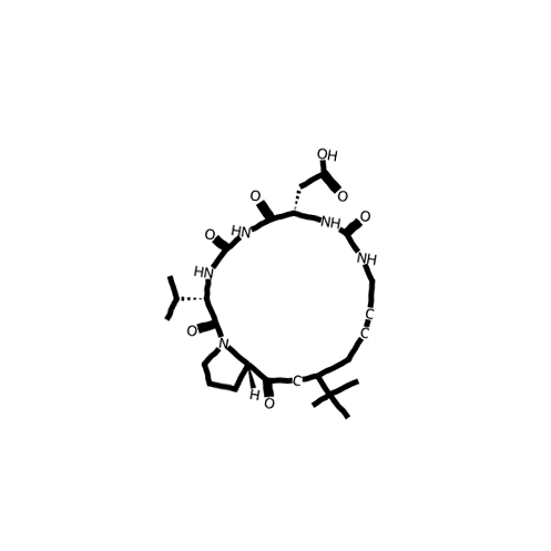 CC(C)[C@@H]1NC(=O)NC(=O)[C@H](CC(=O)O)NC(=O)NCCCCC(C(C)(C)C)CC(=O)[C@@H]2CCCN2C1=O